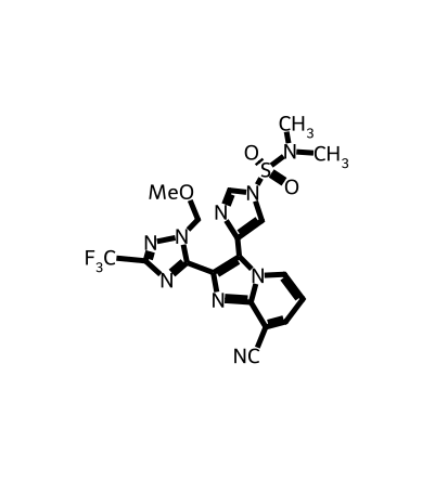 COCn1nc(C(F)(F)F)nc1-c1nc2c(C#N)cccn2c1-c1cn(S(=O)(=O)N(C)C)cn1